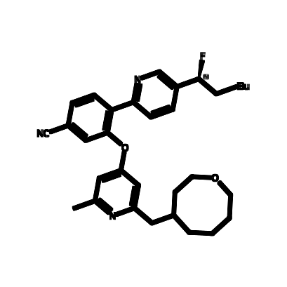 CCC(C)C[C@H](F)c1ccc(-c2ccc(C#N)cc2Oc2cc(C)nc(CC3CCCCOCC3)c2)nc1